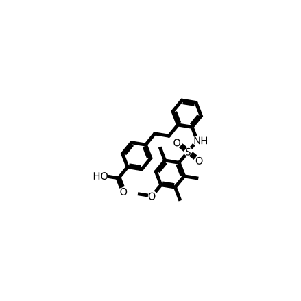 COc1cc(C)c(S(=O)(=O)Nc2ccccc2CCc2ccc(C(=O)O)cc2)c(C)c1C